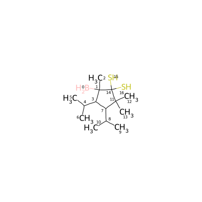 BC1(C)C(C(C)C)C(C(C)C)C(C)(C)C1(S)S